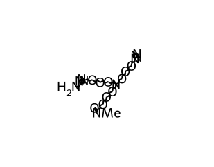 CNC(=O)CCOCCOCCOCCN(CCOCCOCCOCCn1cc(C)nn1)CCOCCOCCOCCn1cc(CN)nn1